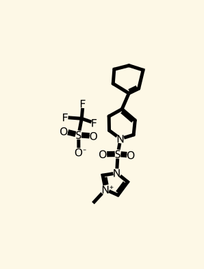 C[n+]1ccn(S(=O)(=O)N2CC=C(C3=CCCCC3)CC2)c1.O=S(=O)([O-])C(F)(F)F